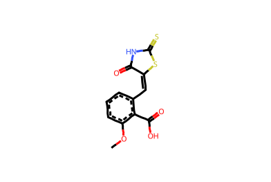 COc1cccc(C=C2SC(=S)NC2=O)c1C(=O)O